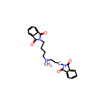 CN(CCCCN1C(=O)c2ccccc2C1=O)CCCN1C(=O)c2ccccc2C1=O